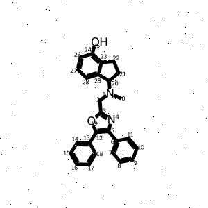 CN(Cc1nc(-c2ccccc2)c(-c2ccccc2)o1)C1CCc2c(O)cccc21